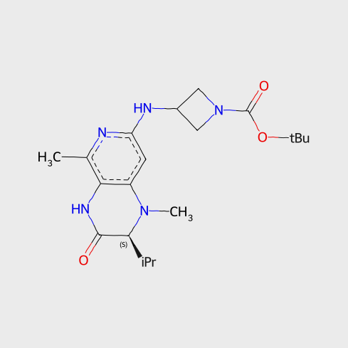 Cc1nc(NC2CN(C(=O)OC(C)(C)C)C2)cc2c1NC(=O)[C@H](C(C)C)N2C